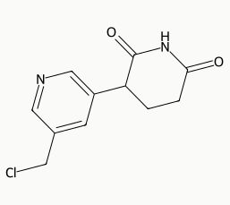 O=C1CCC(c2cncc(CCl)c2)C(=O)N1